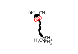 CCCC12COC(CCC=CC#C[Si](C)(C)C)(OC1)OC2C#N